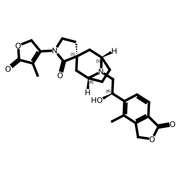 CC1=C(N2CC[C@]3(C[C@H]4CC[C@@H](C3)N4C[C@H](O)c3ccc4c(c3C)COC4=O)C2=O)COC1=O